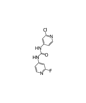 O=C(Nc1ccnc(F)c1)Nc1ccnc(Cl)c1